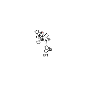 CCC(C)(C)c1ccc(OCCCC(=O)Nc2cccc(C(=O)C(Cl)(C(=O)Nc3ccccc3)N3C(=O)c4ccccc4C3=O)c2)c(C(C)(C)CC)c1